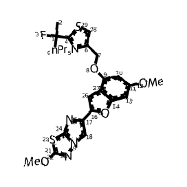 CCCC(C)(F)c1nc(COc2cc(OC)cc3oc(-c4cn5nc(OC)sc5n4)cc23)cs1